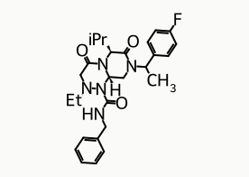 CCN1CC(=O)N2[C@@H](C(C)C)C(=O)N(C(C)c3ccc(F)cc3)C[C@@H]2N1C(=O)NCc1ccccc1